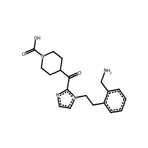 NCc1ccccc1CCn1ccnc1C(=O)C1CCN(C(=O)O)CC1